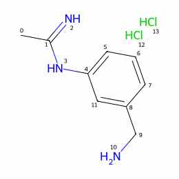 CC(=N)Nc1cccc(CN)c1.Cl.Cl